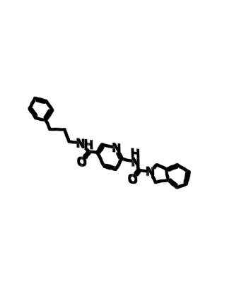 O=C(NCCCc1ccccc1)c1ccc(NC(=O)N2Cc3ccccc3C2)nc1